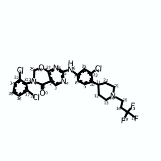 O=C1c2cnc(Nc3ccc(C4CCN(CCC(F)(F)F)CC4)c(Cl)c3)nc2OCN1c1c(Cl)cccc1Cl